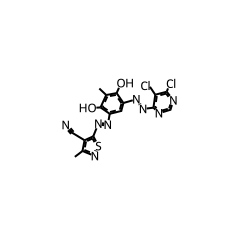 Cc1nsc(/N=N/c2cc(/N=N/c3ncnc(Cl)c3Cl)c(O)c(C)c2O)c1C#N